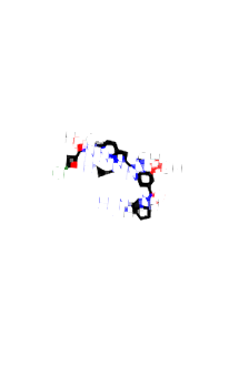 COc1cc(C(=O)N2C[C@H](N)[C@@H]3CC[C@H]2C3)cc2nc(-c3cc4ccc([C@@H](C)NC(=O)C56CC(Cl)(C5)C6)nc4n3CC3CC3)n(C)c12